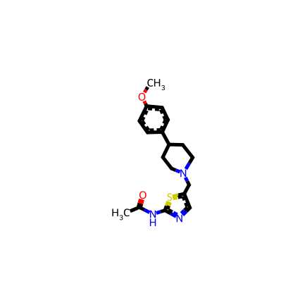 COc1ccc(C2CCN(Cc3cnc(NC(C)=O)s3)CC2)cc1